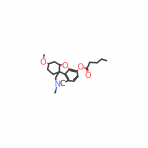 CCCCC(=O)Oc1ccc2c3c1OC1C[C@@H](OC)CCC31CCN(C)C2